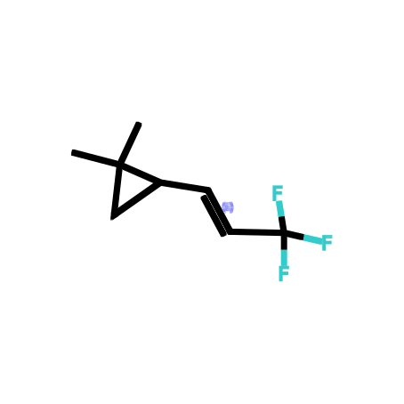 CC1(C)CC1/C=C/C(F)(F)F